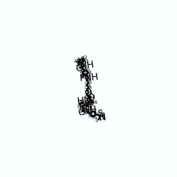 Cc1ncsc1-c1ccc(CNC(=O)[C@@H]2CCCN2C(=O)C(NC(=O)COCCCCCNc2ccc(C(=O)NC3C(C)(C)CC3(C)C)cc2F)C(C)(C)C)cc1